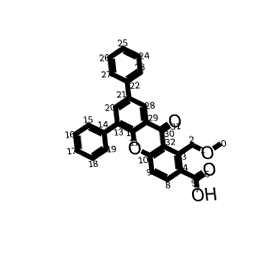 COCc1c(C(=O)O)ccc2oc3c(-c4ccccc4)cc(-c4ccccc4)cc3c(=O)c12